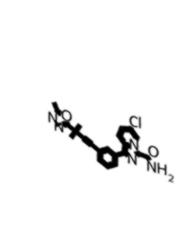 Cc1nnc(C(C)(C)C#Cc2cccc(-c3nc(C(N)=O)n4cc(Cl)ccc34)c2)o1